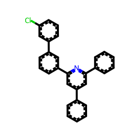 Clc1cccc(-c2cccc(-c3cc(-c4ccccc4)cc(-c4ccccc4)n3)c2)c1